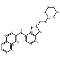 c1ccc2ncc(Nc3ncnc4c3CN(CCC3CCCCC3)C4)cc2c1